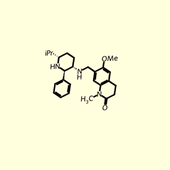 COc1cc2c(cc1CN[C@H]1CC[C@@H](C(C)C)N[C@@H]1c1ccccc1)N(C)C(=O)CC2